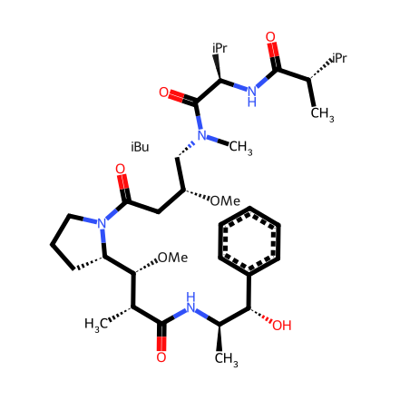 CC[C@H](C)[C@@H]([C@@H](CC(=O)N1CCC[C@H]1[C@H](OC)[C@@H](C)C(=O)N[C@H](C)[C@@H](O)c1ccccc1)OC)N(C)C(=O)[C@H](NC(=O)[C@@H](C)C(C)C)C(C)C